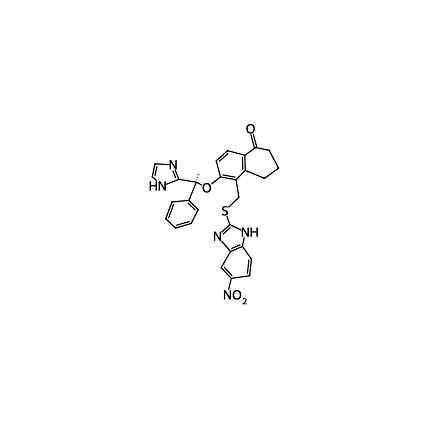 C[C@](Oc1ccc2c(c1CSc1nc3cc([N+](=O)[O-])ccc3[nH]1)CCCC2=O)(c1ccccc1)c1ncc[nH]1